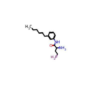 CCCCCCc1cccc(NC(=O)C(N)CCP)c1